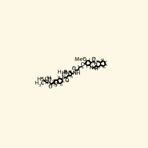 COc1cc2c(cc1OCCCC(=O)Nc1cc(C(=O)Nc3ccc4sc(C(=O)NCC(C)(C)S)cc4c3)n(C)c1)N=C[C@@H]1Cc3ccccc3CN1C2=O